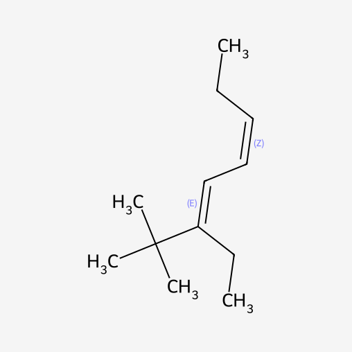 CC/C=C\C=C(/CC)C(C)(C)C